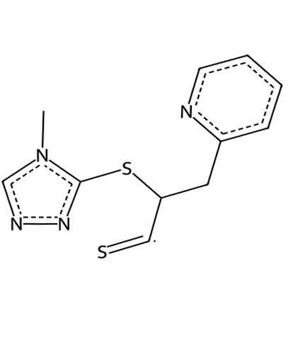 Cn1cnnc1SC([C]=S)Cc1ccccn1